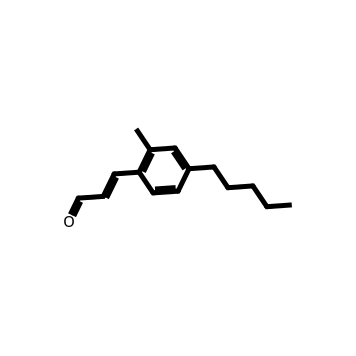 CCCCCc1ccc(C=CC=O)c(C)c1